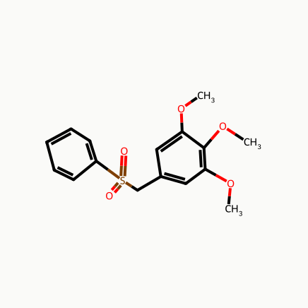 COc1cc(CS(=O)(=O)c2ccccc2)cc(OC)c1OC